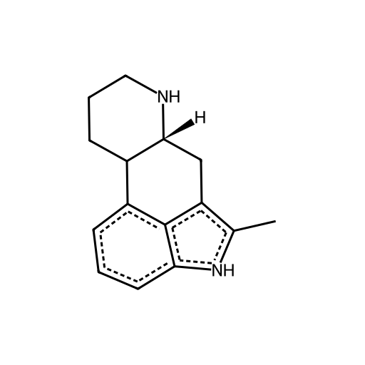 Cc1[nH]c2cccc3c2c1C[C@H]1NCCCC31